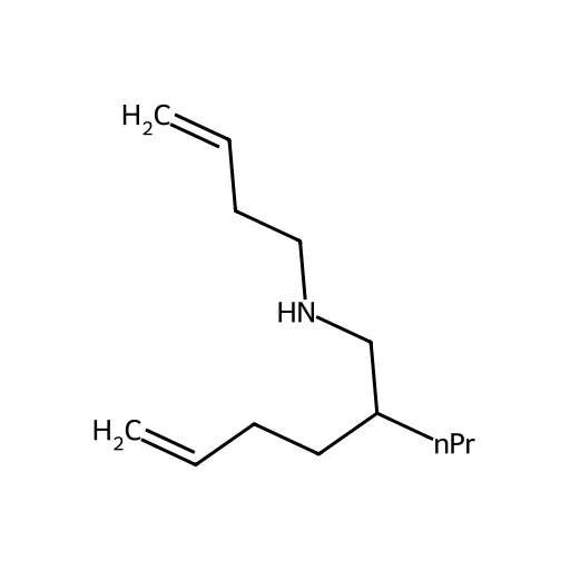 C=CCCNCC(CCC)CCC=C